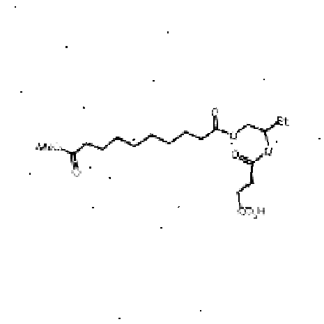 CCC(COC(=O)CCCCCCCCC(=O)OC)OC(=O)CCC(=O)O